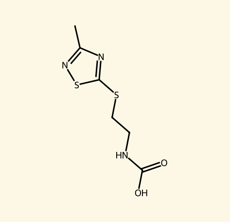 Cc1nsc(SCCNC(=O)O)n1